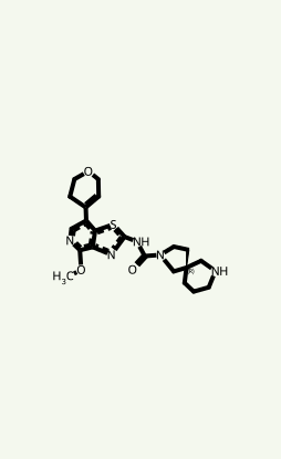 COc1ncc(C2=CCOCC2)c2sc(NC(=O)N3CC[C@@]4(CCCNC4)C3)nc12